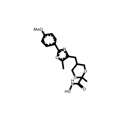 COc1ccc(-c2nc(CC3COC(C)(C(=O)NO)OC3)c(C)o2)cc1